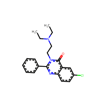 CCN(CC)CCn1c(-c2ccccc2)nc2ccc(Cl)cc2c1=O